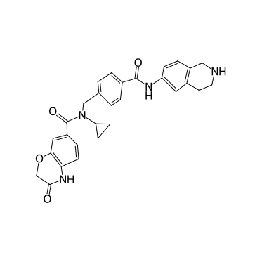 O=C1COc2cc(C(=O)N(Cc3ccc(C(=O)Nc4ccc5c(c4)CCNC5)cc3)C3CC3)ccc2N1